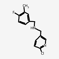 Cc1cc(CNCc2ccc(Cl)nc2)ccc1F